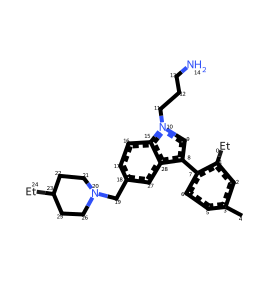 CCc1cc(C)ccc1-c1cn(CCCN)c2ccc(CN3CCC(CC)CC3)cc12